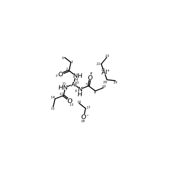 CCC(=O)[NH][Al]([NH]C(=O)CC)[NH]C(=O)CC.CC[O-].C[CH2][Al+][CH2]C